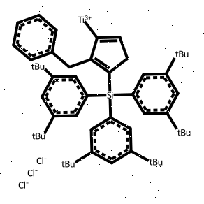 CC(C)(C)c1cc(C(C)(C)C)cc([Si](C2=C(Cc3ccccc3)[C]([Ti+3])=CC2)(c2cc(C(C)(C)C)cc(C(C)(C)C)c2)c2cc(C(C)(C)C)cc(C(C)(C)C)c2)c1.[Cl-].[Cl-].[Cl-]